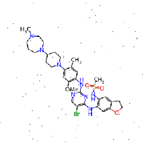 COc1cc(N2CCC(N3CCCN(C)CC3)CC2)c(C)cc1Nc1ncc(Br)c(Nc2cc3c(cc2NS(C)(=O)=O)CCO3)n1